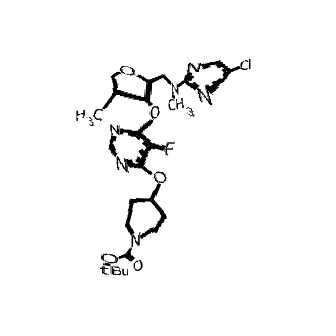 CC1COC(CN(C)c2ncc(Cl)cn2)[C@H]1Oc1ncnc(OC2CCN(C(=O)OC(C)(C)C)CC2)c1F